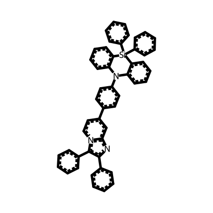 c1ccc(-c2nc3cc(-c4ccc(N5c6ccccc6[Si](c6ccccc6)(c6ccccc6)c6ccccc65)cc4)ccn3c2-c2ccccc2)cc1